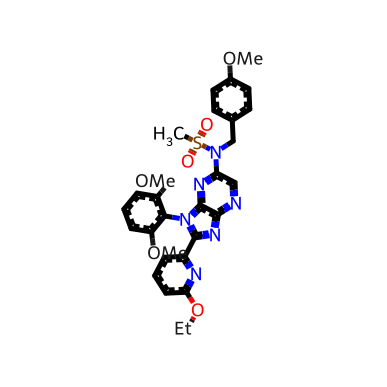 CCOc1cccc(-c2nc3ncc(N(Cc4ccc(OC)cc4)S(C)(=O)=O)nc3n2-c2c(OC)cccc2OC)n1